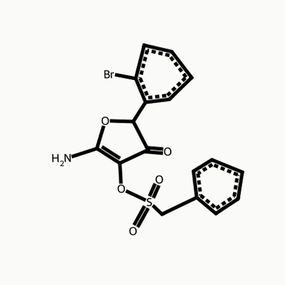 NC1=C(OS(=O)(=O)Cc2ccccc2)C(=O)C(c2ccccc2Br)O1